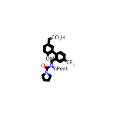 CCCCCN(Cc1cc(C(F)(F)F)ccc1-c1cc(CC(=O)O)ccc1OC)C(=O)N1CCCC1